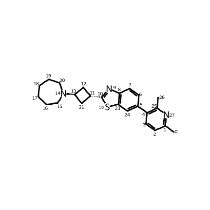 Cc1ccc(-c2ccc3nc([C@H]4C[C@H](N5CCCCCC5)C4)sc3c2)c(C)n1